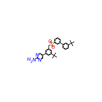 CC(C)(C)c1cccc(-c2cccc(S(=O)(=O)Cc3cc(-c4cnc(N)nc4)cc(C(C)(C)C)c3)c2)c1